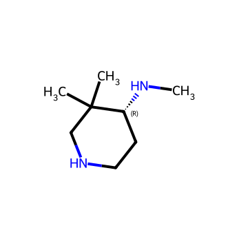 CN[C@@H]1CCNCC1(C)C